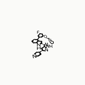 Fc1cc(OCCN2CCCC2)cc(-c2cccc3[nH]c(-c4n[nH]c5ncc(-c6ccncc6)cc45)cc23)c1